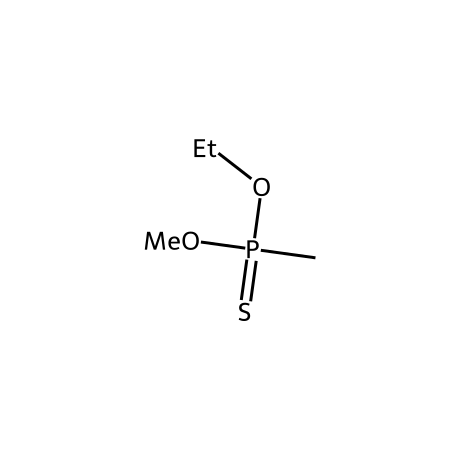 CCOP(C)(=S)OC